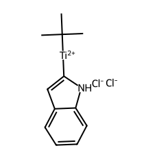 C[C](C)(C)[Ti+2][c]1cc2ccccc2[nH]1.[Cl-].[Cl-]